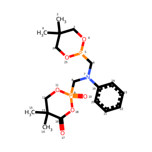 CC1(C)COP(CN(CP2(=O)OCC(C)(C)C(=O)O2)c2ccccc2)OC1